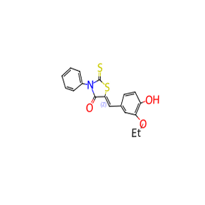 CCOc1cc(/C=C2\SC(=S)N(c3ccccc3)C2=O)ccc1O